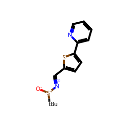 CC(C)(C)[S+]([O-])/N=C/c1ccc(-c2ccccn2)s1